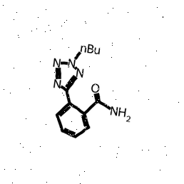 CCCCn1nnc(-c2ccccc2C(N)=O)n1